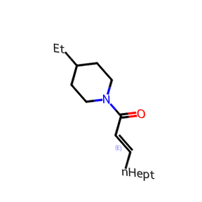 [CH2]CC1CCN(C(=O)/C=C/CCCCCCC)CC1